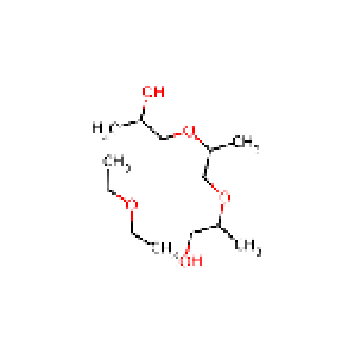 CC(O)COC(C)COC(C)CO.CCOCC